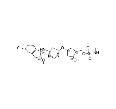 CNS(=O)(=O)OC[C@@H]1C[C@@H](Oc2cc(N[C@@H]3c4ccc(Cl)cc4C[C@@H]3OC)ncn2)C[C@@H]1O